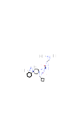 CN(C)CCNC(=O)CN1C[C@]2(CC[C@](c3ccccc3)(N(C)C)CC2)N(CC2CCC2)C1=O